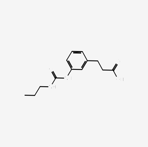 CCCNC(=O)Nc1cccc(CCC(=O)O)c1